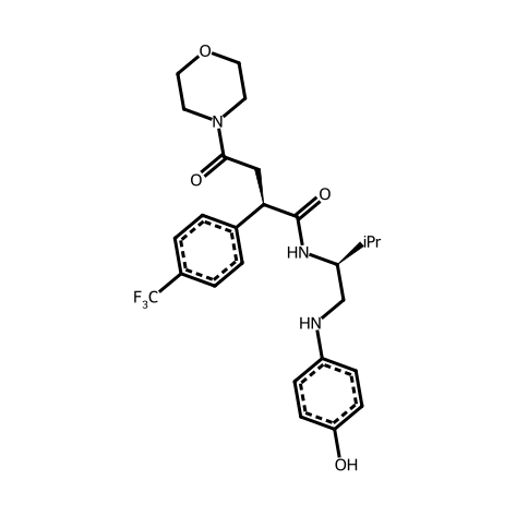 CC(C)[C@@H](CNc1ccc(O)cc1)NC(=O)[C@H](CC(=O)N1CCOCC1)c1ccc(C(F)(F)F)cc1